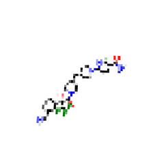 C/N=C/c1cccc(C(O)(C(=O)N2CCC(CC3CCN(c4ccc(C(=O)N(C)C)c(Cl)n4)CC3)CC2)C(F)(F)F)c1